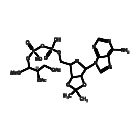 COC(OP(=O)(O)OP(=O)(O)OCC1OC(n2cnc3c(N)ncnc32)C2OC(C)(C)OC12)[C@@H](COC(C)=O)OC(C)=O